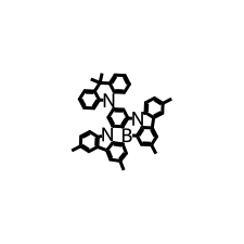 Cc1ccc2c(c1)c1cc(C)cc3c1n2-c1cc(N2c4ccccc4C(C)(C)c4ccccc42)cc2c1B3c1cc(C)cc3c4cc(C)ccc4n-2c13